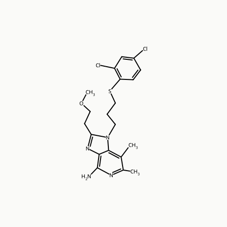 COCCc1nc2c(N)nc(C)c(C)c2n1CCCSc1ccc(Cl)cc1Cl